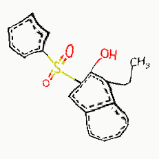 CCc1c(O)c(S(=O)(=O)c2ccccc2)cc2ccccc12